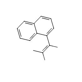 CC(C(=O)O)=C(c1cccc2ccccc12)C(F)(F)F